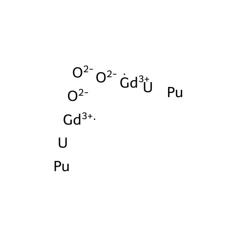 [Gd+3].[Gd+3].[O-2].[O-2].[O-2].[Pu].[Pu].[U].[U]